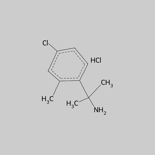 Cc1cc(Cl)ccc1C(C)(C)N.Cl